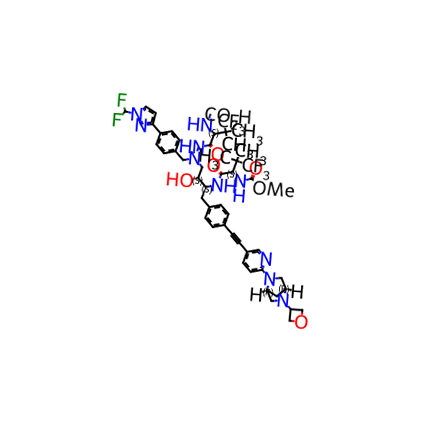 COC(=O)N[C@H](C(=O)N[C@@H](Cc1ccc(C#Cc2ccc(N3C[C@H]4C[C@@H]3CN4C3COC3)nc2)cc1)[C@@H](O)CN(Cc1ccc(-c2ccn(C(F)F)n2)cc1)NC(=O)[C@@H](NC(=O)O)C(C)(C)C(F)(F)F)C(C)(C)C(F)(F)F